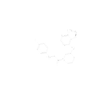 O=C(CNc1ccc(F)cc1)N1CCCC(Nc2ncnc3[nH]ncc23)C1